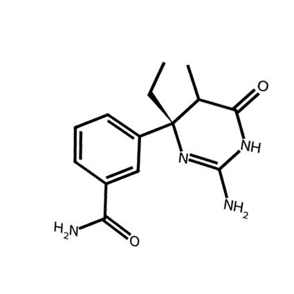 CC[C@]1(c2cccc(C(N)=O)c2)N=C(N)NC(=O)C1C